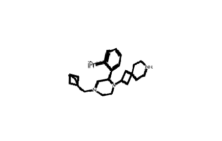 CC(C)c1ccccc1C1CN(CC23CC(C2)C3)CCN1C1CC2(CCNCC2)C1